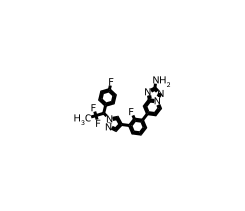 CC(F)(F)C(c1ccc(F)cc1)n1cc(-c2cccc(-c3ccn4nc(N)nc4c3)c2F)cn1